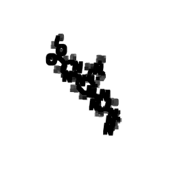 CCOC(=O)c1cnc(N2CCN(c3ncc(N=[N+]=[N-])cn3)C[C@@H]2CN(C)C)nc1